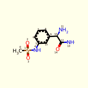 CS(=O)(=O)Nc1cccc([C@@H](N)C([NH])=O)c1